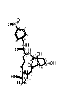 C[C@@]1(C(=O)N[C@@H](CCCNC(=N)N)C(=O)Nc2ccc([N+](=O)[O-])cc2)C[C@@H](O)CN1C(=O)CC(=O)O